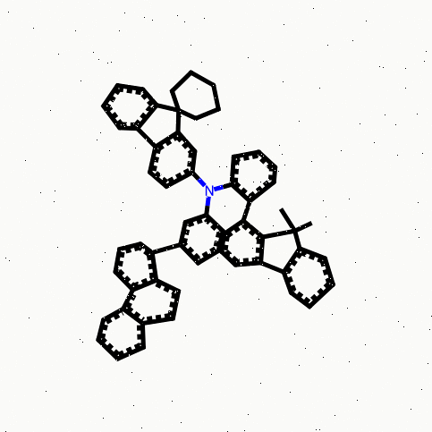 CC1(C)c2ccccc2-c2cccc(-c3ccccc3N(c3cccc(-c4cccc5c4ccc4ccccc45)c3)c3ccc4c(c3)C3(CCCCC3)c3ccccc3-4)c21